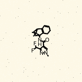 Cn1cc(C(=O)NC23CCC(C4=C2CCC=C4)C3(C)C)c(C(F)F)n1